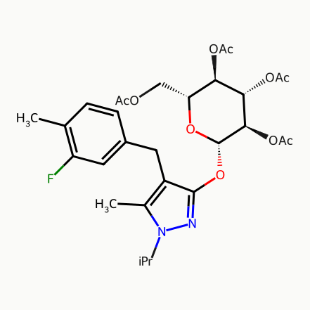 CC(=O)OC[C@H]1O[C@@H](Oc2nn(C(C)C)c(C)c2Cc2ccc(C)c(F)c2)[C@H](OC(C)=O)[C@@H](OC(C)=O)[C@@H]1OC(C)=O